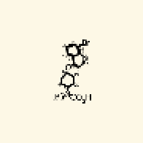 CC(C)(C)N(C(=O)O)[C@H]1CC[C@H](Oc2ccnc3c(Br)cccc23)CC1